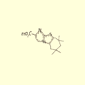 CCOC(=O)c1cn2c3c(sc2n1)C(C)(C)CC(C)(C)C3